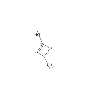 CC1C=C(O)C1